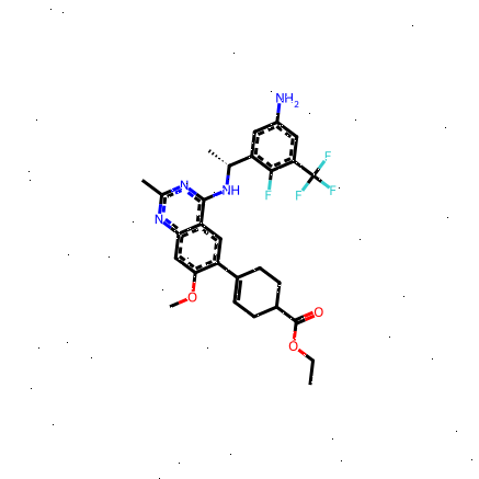 CCOC(=O)C1CC=C(c2cc3c(N[C@H](C)c4cc(N)cc(C(F)(F)F)c4F)nc(C)nc3cc2OC)CC1